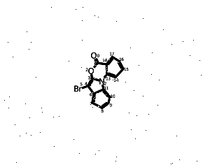 O=c1oc2c(Br)c3ccccc3n2c2ccccc12